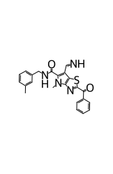 Cc1cccc(CNC(=O)c2c(C=N)c3sc(C(=O)c4ccccc4)nc3n2C)c1